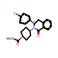 COC(=O)[C@H]1CC[C@@H](N2C(=O)c3ccccc3C[C@@H]2c2ccc(Cl)cc2)CC1